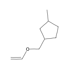 C=COCC1CCC(C)C1